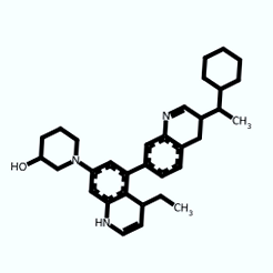 CCC1C=CNc2cc(N3CCCC(O)C3)cc(-c3ccc4c(c3)N=CC(C(C)C3CCCCC3)C4)c21